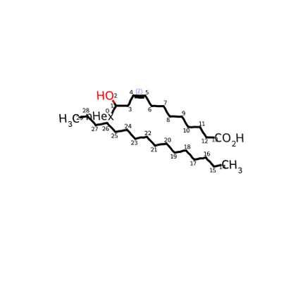 CCCCCCC(O)C/C=C\CCCCCCCC(=O)O.CCCCCCCCCCCCCCCC